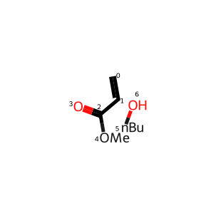 C=CC(=O)OC.CCCCO